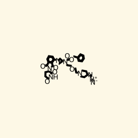 [N-]=[N+]=NC1CCN(CCOCCN(C(=O)OCc2ccccc2)C2CN(c3cccc4c3C(=O)N(C3CCC(=O)NC3=O)C4=O)C2)CC1